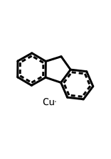 [Cu].c1ccc2c(c1)Cc1ccccc1-2